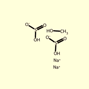 CO.O=S([O-])O.O=S([O-])O.[Na+].[Na+]